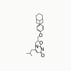 CC(C)Cc1cc(=O)nc2n1CC(COc1ccc(C3C4CCCC3CCC4)cc1)O2